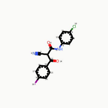 N#CC(C(=O)Nc1ccc(Cl)cc1)C(=O)c1ccc(I)cc1